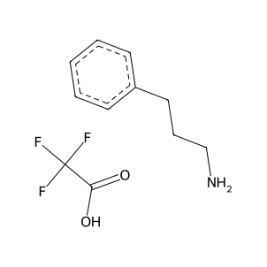 NCCCc1ccccc1.O=C(O)C(F)(F)F